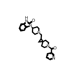 O=C(c1cccnc1)N1CCC2(CC1)CC2CN1CCC(n2c(=O)[nH]c3ccccc32)CC1